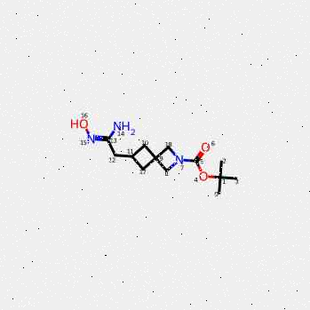 CC(C)(C)OC(=O)N1CC2(CC(C/C(N)=N/O)C2)C1